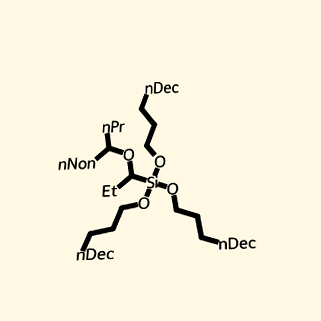 CCCCCCCCCCCCCO[Si](OCCCCCCCCCCCCC)(OCCCCCCCCCCCCC)C(CC)OC(CCC)CCCCCCCCC